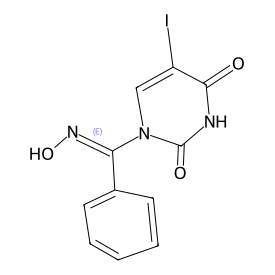 O=c1[nH]c(=O)n(/C(=N/O)c2ccccc2)cc1I